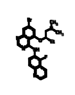 CC[C@H](CN(C)C)Oc1cc(Br)cc2ncnc(Nc3ccc4ncccc4c3F)c12